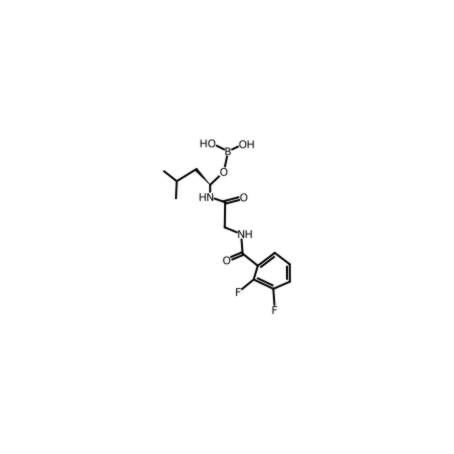 CC(C)C[C@H](NC(=O)CNC(=O)c1cccc(F)c1F)OB(O)O